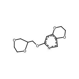 c1nc(OCC2COCCO2)cc2c1OCCO2